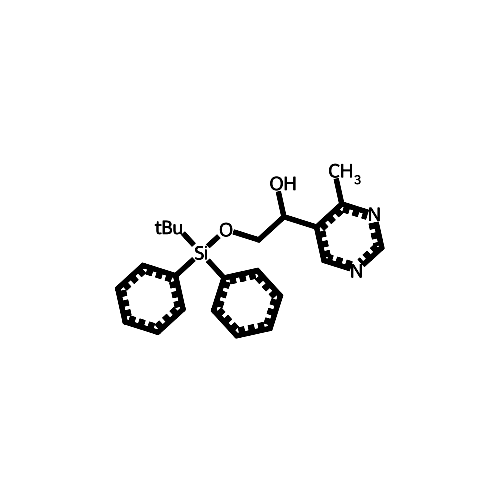 Cc1ncncc1C(O)CO[Si](c1ccccc1)(c1ccccc1)C(C)(C)C